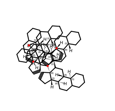 C1#C[C@@]2(C3C[C@H]4[C@@H](CCC5CCCC[C@@H]54)[C@@H]4CC#C[C@@]34[C@@]34C#CC[C@H]3[C@@H]3CCC5CCCC[C@@H]5[C@H]3CC4)C([C@@]34C#CC[C@H]3[C@@H]3CCC5CCCC[C@@H]5[C@H]3CC4[C@@]34C#CC[C@H]3[C@@H]3CCC5CCCC[C@@H]5[C@H]3CC4)C[C@H]3[C@@H](CCC4CCCC[C@@H]43)[C@@H]2C1